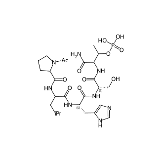 CC(=O)N1CCCC1C(=O)NC(CC(C)C)C(=O)N[C@@H](Cc1cnc[nH]1)C(=O)N[C@@H](CO)C(=O)NC(C(N)=O)C(C)OP(=O)(O)O